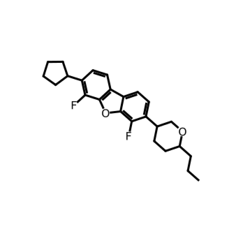 CCCC1CCC(c2ccc3c(oc4c(F)c(C5CCCC5)ccc43)c2F)CO1